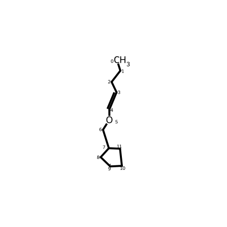 CCC/C=C/OCC1C[CH]CC1